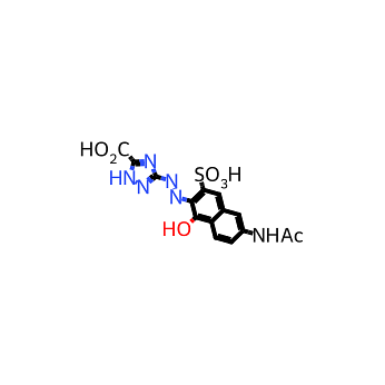 CC(=O)Nc1ccc2c(O)c(N=Nc3n[nH]c(C(=O)O)n3)c(S(=O)(=O)O)cc2c1